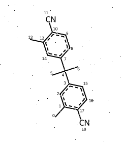 Cc1cc(C(C)(C)c2ccc(C#N)c(C)c2)ccc1C#N